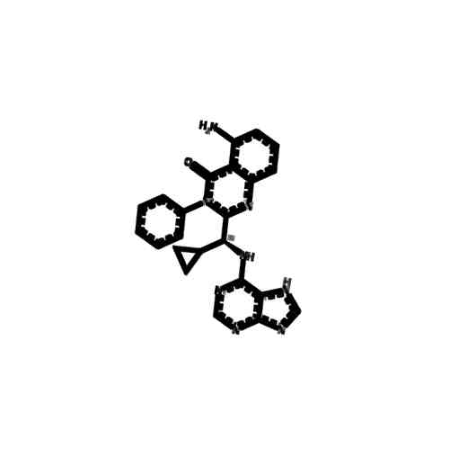 Nc1cccc2nc([C@@H](Nc3ncnc4nc[nH]c34)C3CC3)n(-c3ccccc3)c(=O)c12